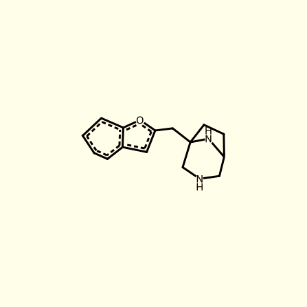 c1ccc2oc(CC34CCC(CNC3)N4)cc2c1